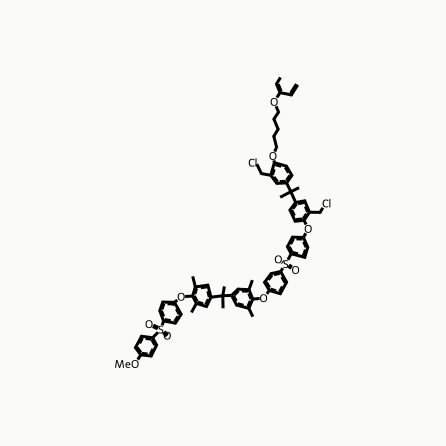 C=C/C(=C\C)OCCCCCOc1ccc(C(C)(C)c2ccc(Oc3ccc(S(=O)(=O)c4ccc(Oc5c(C)cc(C(C)(C)c6cc(C)c(Oc7ccc(S(=O)(=O)c8ccc(OC)cc8)cc7)c(C)c6)cc5C)cc4)cc3)c(CCl)c2)cc1CCl